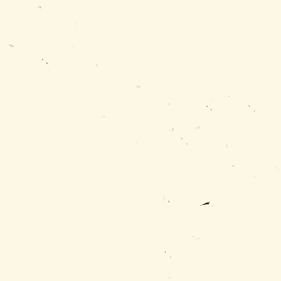 CN1CCN[C@@H](COc2cccc3ncnc(Nc4ccc(OCc5ccccn5)c(Cl)c4)c23)C1